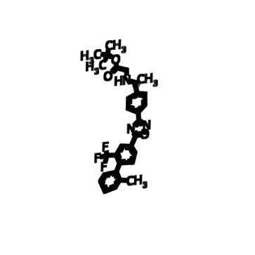 Cc1ccccc1-c1ccc(-c2nc(-c3ccc([C@@H](C)NCC(=O)OC(C)(C)C)cc3)no2)cc1C(F)(F)F